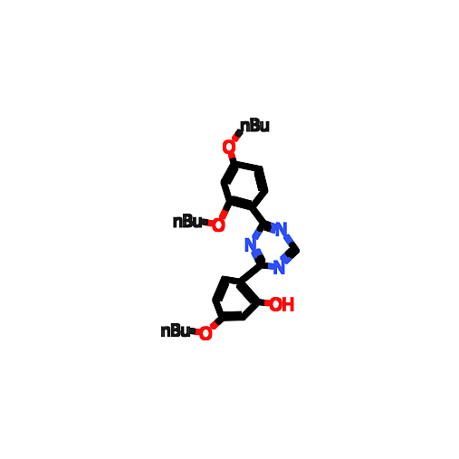 CCCCOc1ccc(-c2ncnc(-c3ccc(OCCCC)cc3OCCCC)n2)c(O)c1